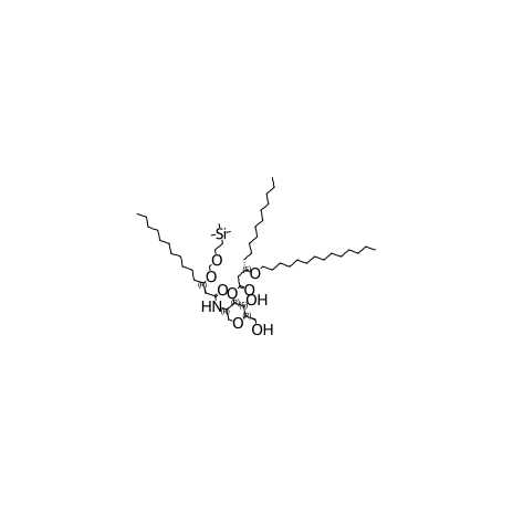 CCCCCCCCCCCCCCO[C@@H](CCCCCCCCCCC)CC(=O)O[C@H]1[C@H](O)[C@@H](CO)OC[C@H]1NC(=O)C[C@@H](CCCCCCCCCCC)OCOCC[Si](C)(C)C